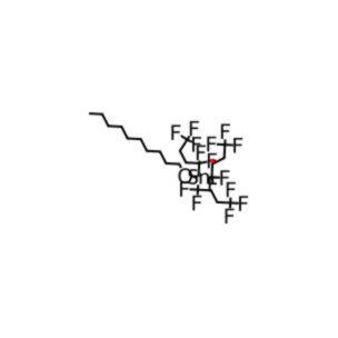 CCCCCCCCCC[O][Sn]([C](F)(F)CCC(F)(F)F)([C](F)(F)CCC(F)(F)F)[C](F)(F)CCC(F)(F)F